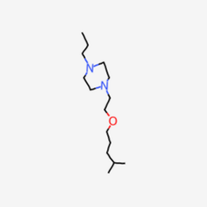 CCCN1CCN(CCOCCCC(C)C)CC1